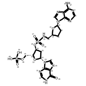 Nc1ncnc2c1ncn2[C@H]1CC[C@@H](CNS(=O)(=O)O[C@H]2C[C@H](n3cnc4c(=O)[nH]cnc43)O[C@@H]2COP(=O)(O)O)O1